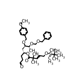 COc1ccc(CO[C@H](C[C@@H](CCC=O)OC(=O)C(C)(C)C=CCO[Si](C)(C)C(C)(C)C)[C@@H](C)OCOCc2ccccc2)cc1